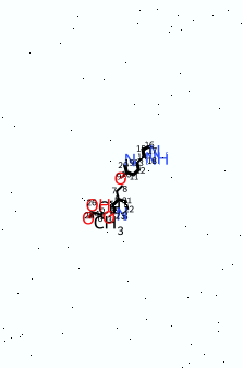 CC(C)(Oc1cc(CCOc2ccc(-c3ccn[nH]3)nc2)ccn1)C(=O)O